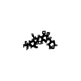 Cc1cc(C(F)(F)F)cc2c1cc(Cc1c(Cl)cn(CC3CCOCC3)c(=O)c1Cl)n2C